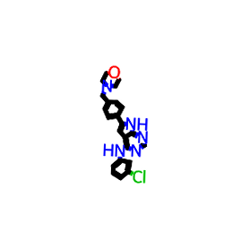 Clc1cccc(Nc2ncnc3[nH]c(-c4ccc(CN5CCOCC5)cc4)cc23)c1